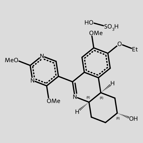 CCOc1cc2c(cc1OC)C(c1cnc(OC)nc1OC)=N[C@@H]1CC[C@@H](O)C[C@H]21.O=S(=O)(O)O